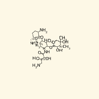 C[C@@H]1C(O)[C@@H](OC2C(O)C(O[C@H]3O[C@H](CN)CCC3N)[C@@H](N)C[C@H]2NC(=O)[C@@H](O)[C@@H](O)CN)OCC1(C)O